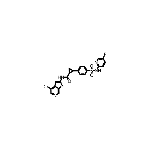 O=C(Nc1cc2c(Cl)cncc2s1)C1CC1c1ccc(S(=O)(=O)Nc2ccc(F)cn2)cc1